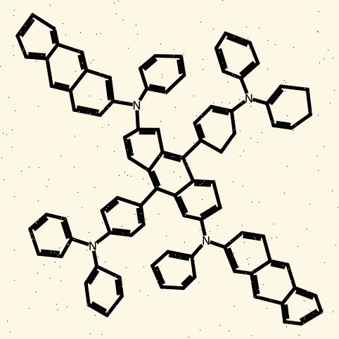 C1=CC(N(C2=CC=C(c3c4cc(N(c5ccccc5)c5ccc6cc7ccccc7cc6c5)ccc4c(-c4ccc(N(c5ccccc5)c5ccccc5)cc4)c4cc(N(c5ccccc5)c5ccc6cc7ccccc7cc6c5)ccc34)CC2)c2ccccc2)=CCC1